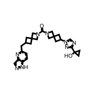 O=C(N1CC2(CC(Cc3ccc4[nH]ncc4n3)C2)C1)N1CC2(CC(n3cnc(C4(O)CC4)n3)C2)C1